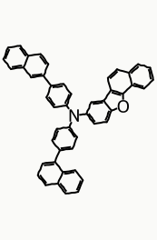 c1ccc2cc(-c3ccc(N(c4ccc(-c5cccc6ccccc56)cc4)c4ccc5oc6c7ccccc7ccc6c5c4)cc3)ccc2c1